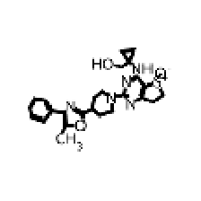 Cc1oc(C2CCN(c3nc4c(c(NC5(CO)CC5)n3)[S+]([O-])CC4)CC2)nc1-c1ccccc1